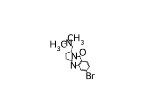 CN(C)CC1CCc2nc3cc(Br)ccc3c(=O)n21